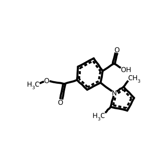 COC(=O)c1ccc(C(=O)O)c(-n2c(C)ccc2C)c1